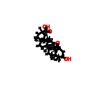 CC1(C)[C@@H](O)CC[C@]2(C)[C@H]3C(=O)C=C4[C@@H]5C[C@@](C)(C(=O)O)CC[C@]5(C)CC[C@@]4(C)[C@]3(C)CC[C@@]12C